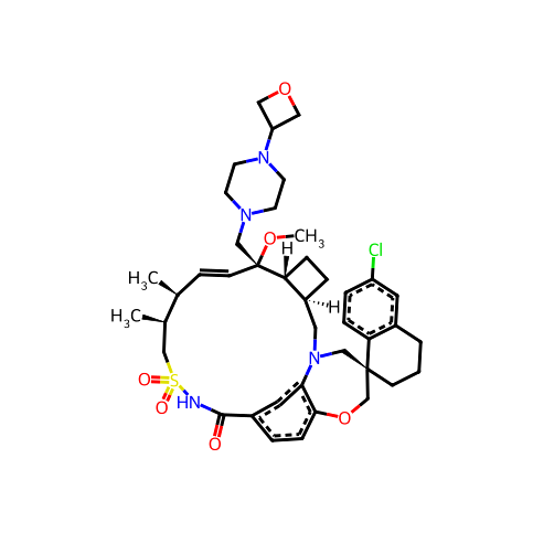 CO[C@@]1(CN2CCN(C3COC3)CC2)/C=C/[C@H](C)[C@H](C)CS(=O)(=O)NC(=O)c2ccc3c(c2)N(C[C@@H]2CC[C@H]21)C[C@@]1(CCCc2cc(Cl)ccc21)CO3